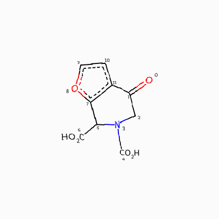 O=C1CN(C(=O)O)C(C(=O)O)c2occc21